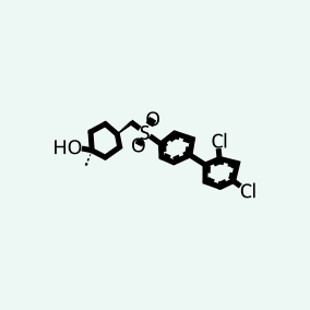 C[C@]1(O)CC[C@@H](CS(=O)(=O)c2ccc(-c3ccc(Cl)cc3Cl)cc2)CC1